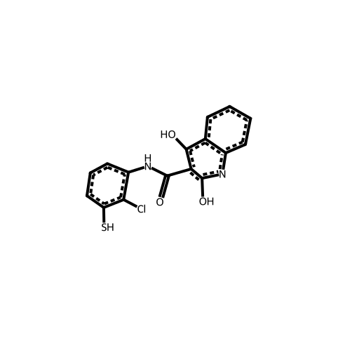 O=C(Nc1cccc(S)c1Cl)c1c(O)nc2ccccc2c1O